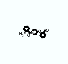 O=Cc1ccccc1OC1CCN(C(=O)c2ccccc2P)CC1